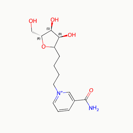 NC(=O)c1ccc[n+](CCCCC2O[C@H](CO)[C@@H](O)[C@H]2O)c1